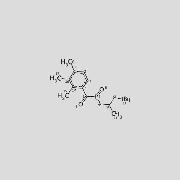 Cc1ccc(C(=O)[P](=O)CC(C)CC(C)(C)C)c(C)c1C